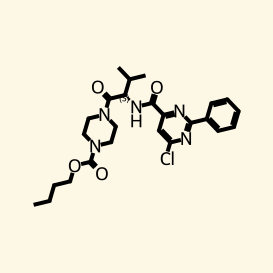 CCCCOC(=O)N1CCN(C(=O)[C@@H](NC(=O)c2cc(Cl)nc(-c3ccccc3)n2)C(C)C)CC1